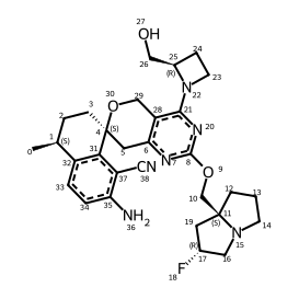 C[C@H]1CC[C@]2(Cc3nc(OC[C@@]45CCCN4C[C@H](F)C5)nc(N4CC[C@@H]4CO)c3CO2)c2c1ccc(N)c2C#N